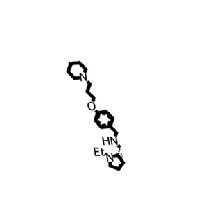 CCN1CCC[C@H]1CNCc1ccc(OCCCN2CCCCC2)cc1